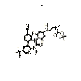 CCN1C(=O)N(c2c(F)cc(NCCN(C)C(=O)OC(C)(C)C)cc2F)c2cc(C#N)ccc2-c2cc(C(F)(F)F)cnc21